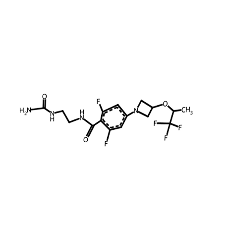 CC(OC1CN(c2cc(F)c(C(=O)NCCNC(N)=O)c(F)c2)C1)C(F)(F)F